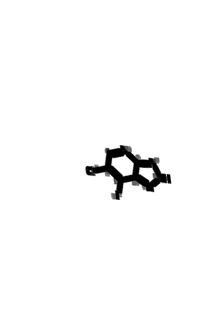 Fc1c(Cl)cnc2n[nH]nc12